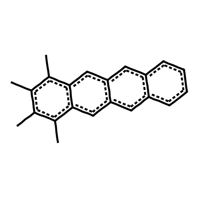 Cc1c(C)c(C)c2cc3cc4ccccc4cc3cc2c1C